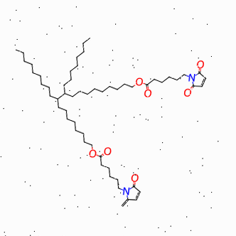 C=C1C=CC(=O)N1CCCCCC(=O)OCCCCCCCCC(CCCCCCCCC)C(CCCCCCCC)CCCCCCCCCOC(=O)CCCCCN1C(=O)C=CC1=O